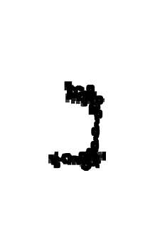 COc1cc(OCCCCOCCCOCC(=O)N[C@H](C(=O)N2CCC[C@H]2C(=O)NCc2ccc(-c3scnc3C)cc2)C(C)(C)C)ncc1N1C(=S)N(c2ccc(C#N)c(C(F)(F)F)c2F)C(=O)C1(C)C